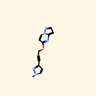 Cn1ccc(C#CCOc2ccn3nccc3n2)n1